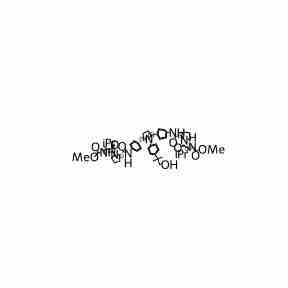 COC(=O)N[C@H](C(=O)N1CCC[C@H]1C(=O)Nc1ccc([C@@H]2CC[C@@H](c3ccc(NC(=O)[C@@H]4CCCN4C(=O)[C@@H](NC(=O)OC)C(C)C)cc3)N2c2ccc(C(C)(C)CO)cc2)cc1)C(C)C